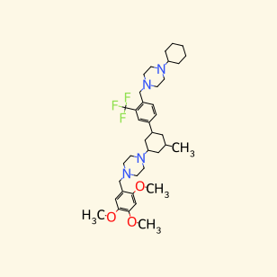 COc1cc(OC)c(OC)cc1CN1CCN(C2CC(C)CC(c3ccc(CN4CCN(C5CCCCC5)CC4)c(C(F)(F)F)c3)C2)CC1